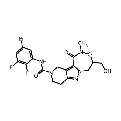 CN1OC(CO)Cn2nc3c(c2C1=O)CN(C(=O)Nc1cc(Br)cc(F)c1F)CC3